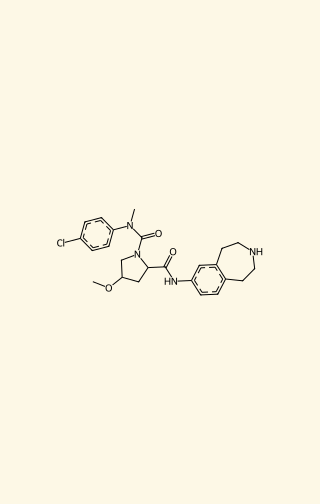 COC1CC(C(=O)Nc2ccc3c(c2)CCNCC3)N(C(=O)N(C)c2ccc(Cl)cc2)C1